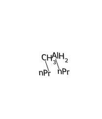 CCCC.CC[CH2][AlH2]